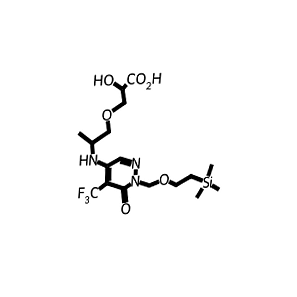 CC(COCC(O)C(=O)O)Nc1cnn(COCC[Si](C)(C)C)c(=O)c1C(F)(F)F